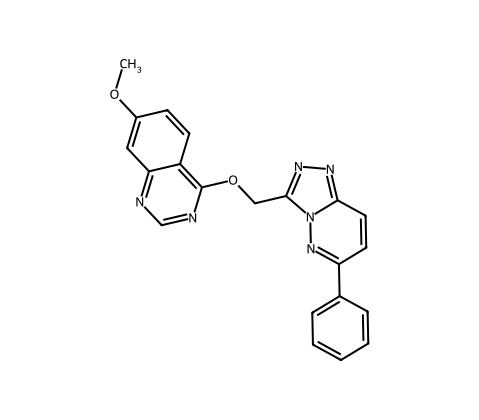 COc1ccc2c(OCc3nnc4ccc(-c5ccccc5)nn34)ncnc2c1